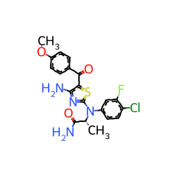 COc1ccc(C(=O)c2sc(N(c3ccc(Cl)c(F)c3)[C@H](C)C(N)=O)nc2N)cc1